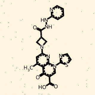 Cc1cc(N2CC(C(=O)NNc3ccccn3)C2)nc2c1c(=O)c(C(=O)O)cn2-c1nccs1